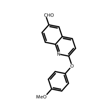 COc1ccc(Oc2ccc3cc(C=O)ccc3n2)cc1